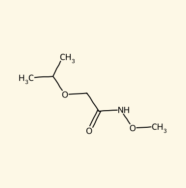 CONC(=O)COC(C)C